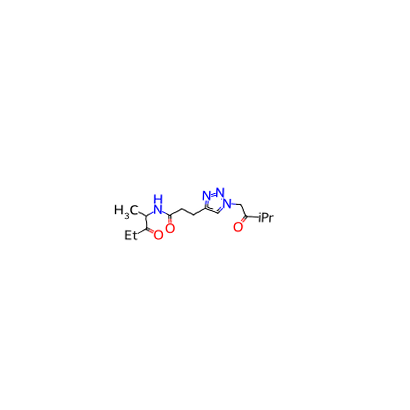 CCC(=O)C(C)NC(=O)CCc1cn(CC(=O)C(C)C)nn1